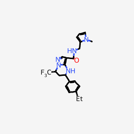 CCc1ccc(C2CC(C(F)(F)F)n3ncc(C(=O)NCc4cccn4C)c3N2)cc1